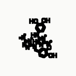 CN(C)c1nnc(NCc2ccc(O)c(ON(C)c3nnc(Nc4ccc(O)c(O)c4)n3C)c2)n1C